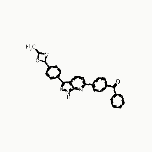 CC1OC(c2ccc(-c3n[nH]c4nc(-c5ccc(C(=O)c6ccccc6)cc5)ccc34)cc2)O1